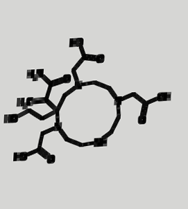 C=C(C(N)=O)C1(CCO)CN(CC(=O)O)CCN(CC(=O)O)CCNCCN1CC(=O)O